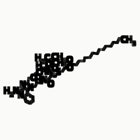 CCCCCCCCCCCCCCCC(=O)OCCSC[C@H](NC(=O)OC(C)(C)C)C(=O)NCCCn1c(COCC)nc2c(N)nc3ccccc3c21